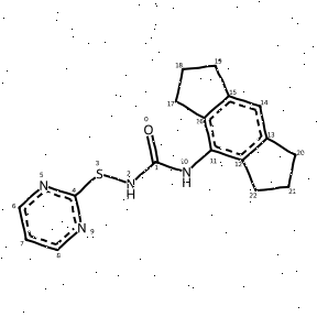 O=C(NSc1ncccn1)Nc1c2c(cc3c1CCC3)CCC2